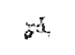 COc1ccc(CN(C)c2cs[c]n2)c(OC)c1